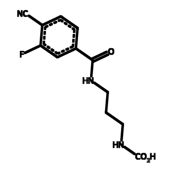 N#Cc1ccc(C(=O)NCCCNC(=O)O)cc1F